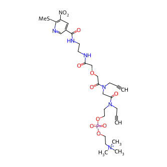 C#CCN(CCOP(=O)([O-])OCC[N+](C)(C)C)C(=O)CN(CC#C)C(=O)COCC(=O)NCCNC(=O)c1cnc(SC)c([N+](=O)[O-])c1